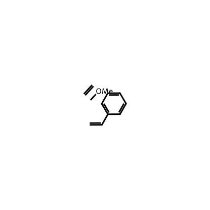 C=C.C=Cc1ccccc1.COC